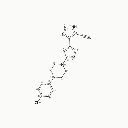 N#Cc1[nH]nnc1-c1csc(N2CCN(c3ccc(Cl)cc3)CC2)n1